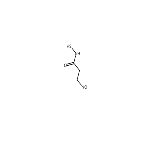 O=NCCC(=O)NS